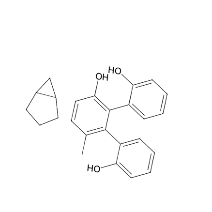 C1CC2CC2C1.Cc1ccc(O)c(-c2ccccc2O)c1-c1ccccc1O